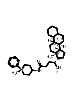 CC(CCC(=O)NC1CC[N+](C)(c2ccccc2)CC1)[C@H]1CC[C@H]2[C@@H]3CCC4CCCC[C@]4(C)[C@H]3CC[C@]12C.[I-]